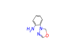 Nc1ccccc1N1COC=N1